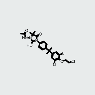 CC(=O)NN1C(O)N(c2ccc(C(C)(C)c3cc(Cl)c(OCCCl)c(Cl)c3)cc2)C(=O)C1(C)C